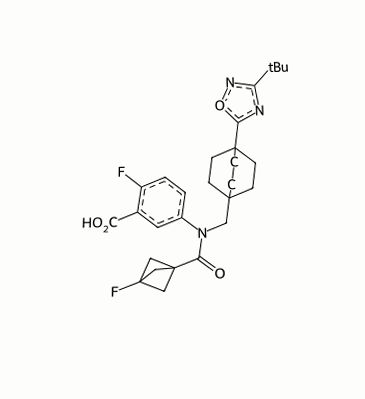 CC(C)(C)c1noc(C23CCC(CN(C(=O)C45CC(F)(C4)C5)c4ccc(F)c(C(=O)O)c4)(CC2)CC3)n1